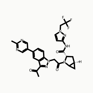 CC(=O)c1nn(CC(=O)N2C3C[C@@H]3C[C@H]2C(=O)Nc2ccn(CC(F)(F)F)n2)c2ccc(-c3cnc(C)nc3)cc12